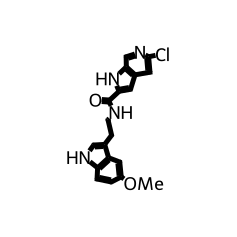 COc1ccc2[nH]cc(CCNC(=O)c3cc4cc(Cl)ncc4[nH]3)c2c1